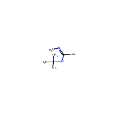 C/N=C(/NC)NC(C)(C)C